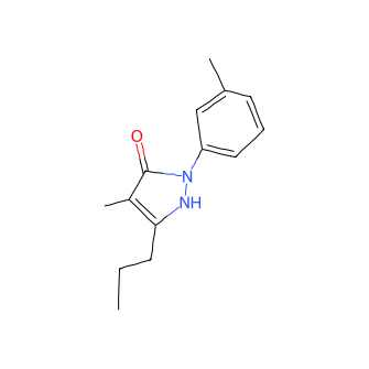 CCCc1[nH]n(-c2cccc(C)c2)c(=O)c1C